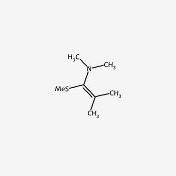 CSC(=C(C)C)N(C)C